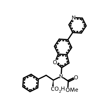 COC(=O)N(c1cc2cc(-c3cccnc3)ccc2o1)[C@H](Cc1ccccc1)C(=O)O